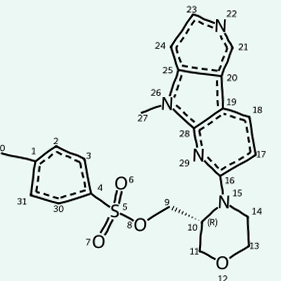 Cc1ccc(S(=O)(=O)OC[C@H]2COCCN2c2ccc3c4cnccc4n(C)c3n2)cc1